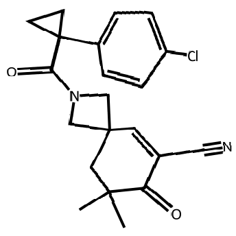 CC1(C)CC2(C=C(C#N)C1=O)CN(C(=O)C1(c3ccc(Cl)cc3)CC1)C2